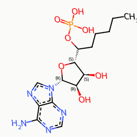 CCCCCC(OP(=O)(O)O)[C@H]1O[C@@H](n2cnc3c(N)ncnc32)[C@H](O)[C@@H]1O